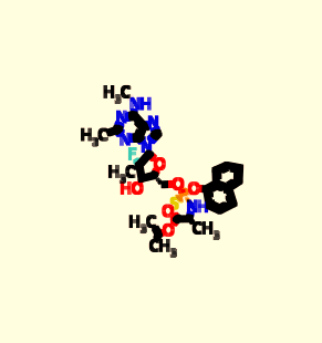 CNc1nc(C)nc2c1ncn2[C@@H]1O[C@H](CO[P@](=S)(N[C@@H](C)C(=O)OC(C)C)Oc2cccc3ccccc23)[C@@H](O)[C@@]1(C)F